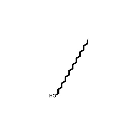 CCCCCCCCCCCCCCCCC=CO